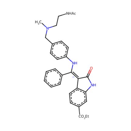 CCOC(=O)c1ccc2c(c1)NC(=O)/C2=C(\Nc1ccc(CN(C)CCNC(C)=O)cc1)c1ccccc1